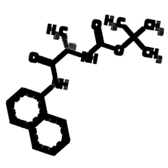 C[C@H](NC(=O)OC(C)(C)C)C(=O)Nc1cccc2ccccc12